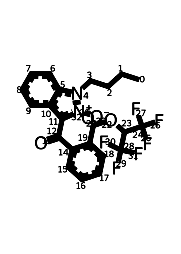 CCCCn1c2ccccc2c(C(=O)c2ccccc2C(=O)OC(C(F)(F)F)C(F)(F)F)[n+]1[O-]